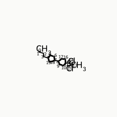 CCCCc1ccc(-c2ccc([Si](C)(Cl)Cl)cc2)cc1